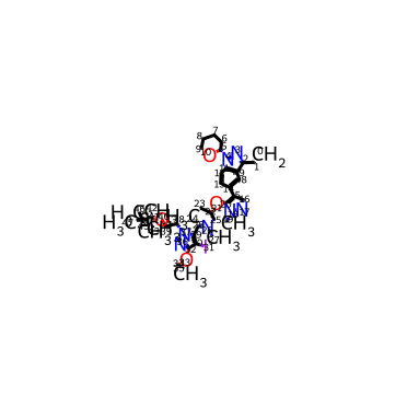 C=Cc1nn(C2CCCCO2)c2ccc(-c3cnn(C)c3OC(CC)CN(C)Cc3c(I)c(OCC)nn3CCO[Si](C)(C)C(C)(C)C)cc12